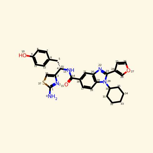 Nc1nc([C@H](Cc2ccc(O)cc2)NC(=O)c2ccc3c(c2)nc(-c2ccoc2)n3C2CCCCC2)cs1